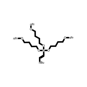 CCCCC=C[Si](OCCCCOCCC)(OCCCCOCCC)OCCCCOCCC